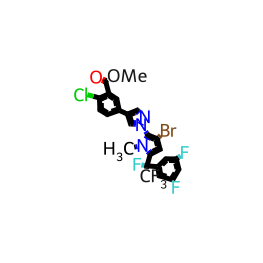 COC(=O)c1cc(-c2cnn(-c3c(Br)cc(C(F)(c4cc(F)cc(F)c4)C(F)(F)F)n3C)c2)ccc1Cl